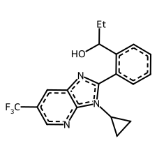 CCC(O)c1ccccc1-c1nc2cc(C(F)(F)F)cnc2n1C1CC1